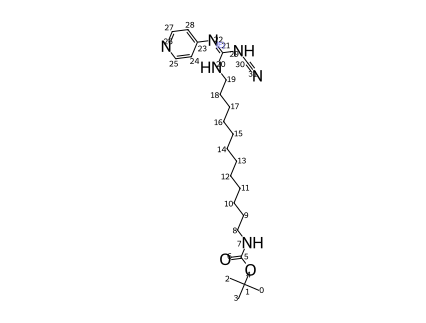 CC(C)(C)OC(=O)NCCCCCCCCCCCCN/C(=N\c1ccncc1)NC#N